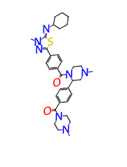 CN1CCN(C(=O)c2ccc(C3CN(C)CCN3C(=O)c3ccc(-c4nn(C)c(=NC5CCCCC5)s4)cc3)cc2)CC1